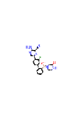 N#Cc1nc(-c2ccc(-c3ccccc3[S+]([O-])N3CCNC(=O)C3)cc2F)cnc1N